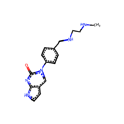 CNCCNCc1ccc(-n2cc3cc[nH]c3nc2=O)cc1